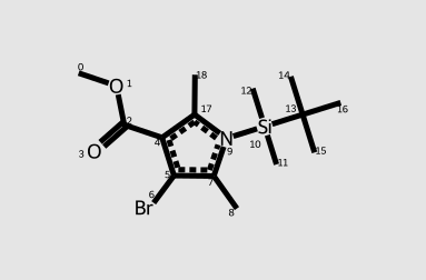 COC(=O)c1c(Br)c(C)n([Si](C)(C)C(C)(C)C)c1C